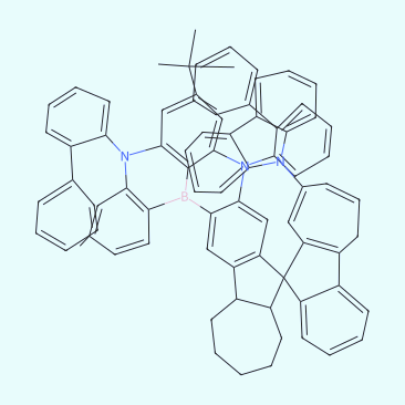 Cc1ccc2c(c1)N(c1ccccc1-c1ccccc1)c1cc(C(C)(C)C)cc3c1B2c1cc2c(cc1N3c1ccccc1-c1ccccc1)C1(C3=C(CC=CC(n4c5ccccc5c5ccccc54)=C3)c3ccccc31)C1CCCCCC21